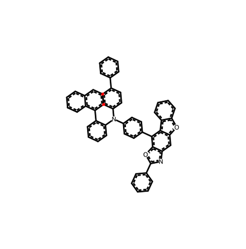 c1ccc(-c2ccc(N(c3ccc(-c4c5oc(-c6ccccc6)nc5cc5oc6ccccc6c45)cc3)c3ccccc3-c3cccc4ccccc34)cc2)cc1